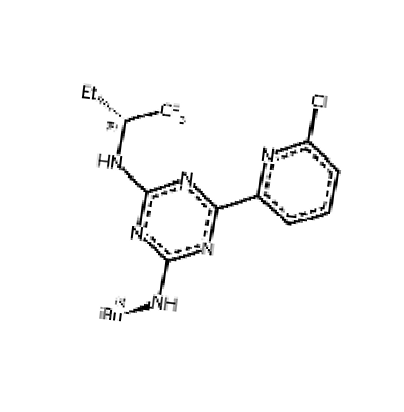 CC[C@H](C)Nc1nc(N[C@H](CC)C(F)(F)F)nc(-c2cccc(Cl)n2)n1